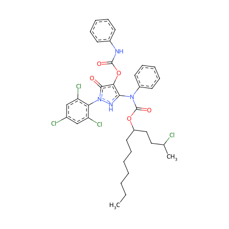 CCCCCCCC(CCC(C)Cl)OC(=O)N(c1ccccc1)c1[nH]n(-c2c(Cl)cc(Cl)cc2Cl)c(=O)c1OC(=O)Nc1ccccc1